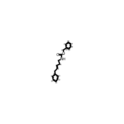 O=C(NCCC=CCc1ccccc1)OCc1ccccc1